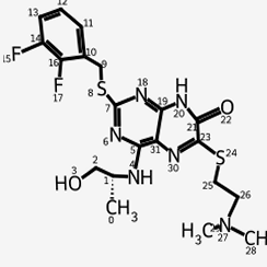 C[C@H](CO)Nc1nc(SCc2cccc(F)c2F)nc2[nH]c(=O)c(SCCN(C)C)nc12